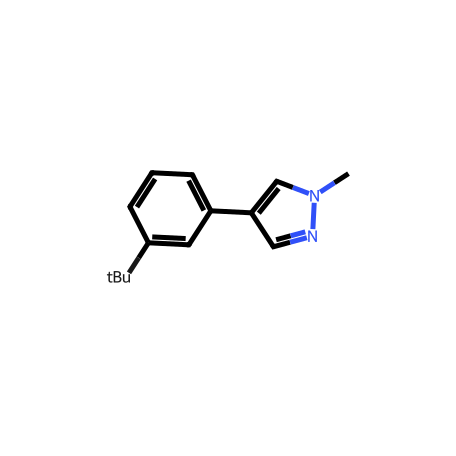 Cn1cc(-c2cccc(C(C)(C)C)c2)cn1